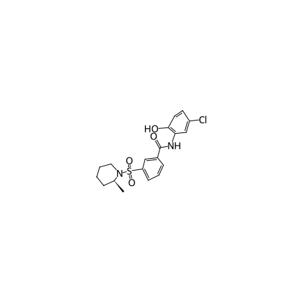 C[C@H]1CCCCN1S(=O)(=O)c1cccc(C(=O)Nc2cc(Cl)ccc2O)c1